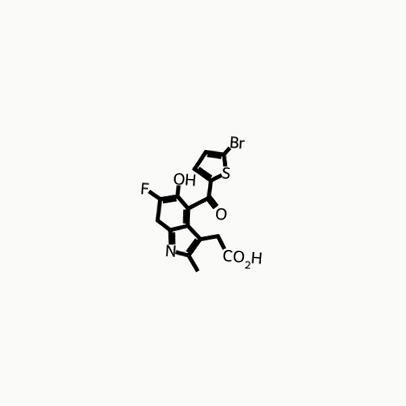 CC1=C(CC(=O)O)C2=C(C(=O)c3ccc(Br)s3)C(O)=C(F)CC2=N1